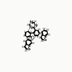 c1ccc2c(c1)oc1cccc(-c3ncncn3)c12.c1ccc2sccc2c1.c1ccc2sccc2c1